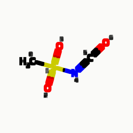 CS(=O)(=O)N=C=O